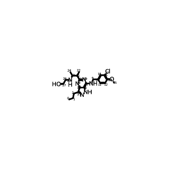 CCCc1n[nH]c2c(NCc3ccc(OC)c(Cl)c3)nc(C(C)C(C)NCCO)nc12